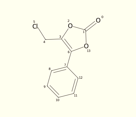 O=c1oc(CCl)c(-c2ccccc2)o1